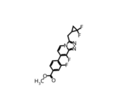 COC(=O)c1ccc(-c2ccn3c(CC4CC4(F)F)nnc3c2F)c(F)c1